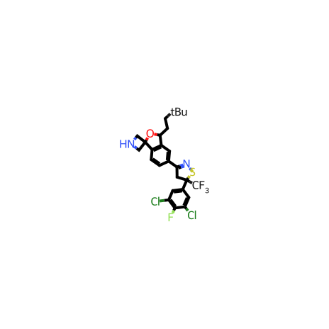 CC(C)(C)CCC1OC2(CNC2)c2ccc(C3=NSC(c4cc(Cl)c(F)c(Cl)c4)(C(F)(F)F)C3)cc21